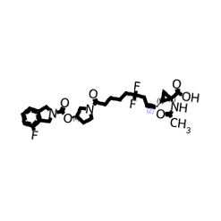 CC(=O)N[C@]1(C(=O)O)C[C@H]1/C=C\CC(F)(F)CCCCC(=O)N1CC[C@@H](OC(=O)N2Cc3cccc(F)c3C2)C1